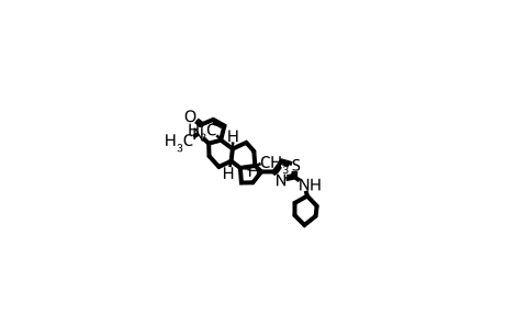 CN1C(=O)C=C[C@@]2(C)C1CC[C@@H]1[C@H]2CC[C@]2(C)C(c3csc(NC4CCCCC4)n3)CC[C@@H]12